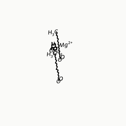 CCCCCCCCCCCCCCCCCC(=O)[O-].CCCCCCCCCCCCCCCCCC(=O)[O-].Cc1ccc2c3c(coc13)C=NC=C2.[Mg+2]